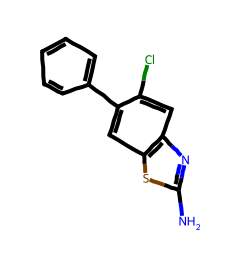 Nc1nc2cc(Cl)c(-c3ccccc3)cc2s1